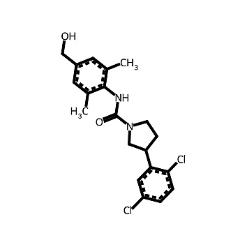 Cc1cc(CO)cc(C)c1NC(=O)N1CCC(c2cc(Cl)ccc2Cl)C1